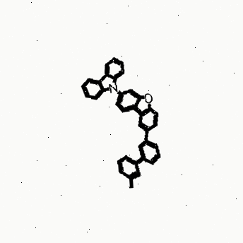 Cc1cccc(-c2cccc(-c3ccc4oc5cc(-n6c7ccccc7c7ccccc76)ccc5c4c3)c2)c1